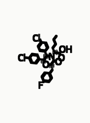 CCCC[C@@H](C(=O)O)N1C(=O)[C@H](Cc2ccc(F)cc2)O[C@@H](c2ccc(Cl)cc2)[C@H]1c1ccc(Cl)cc1